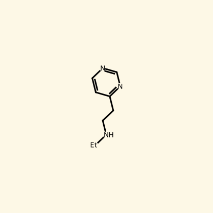 CCNCCc1ccncn1